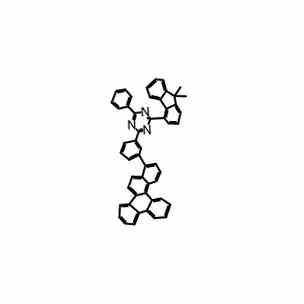 CC1(C)c2ccccc2-c2c(-c3nc(-c4ccccc4)nc(-c4cccc(-c5cccc6c5ccc5c7ccccc7c7ccccc7c65)c4)n3)cccc21